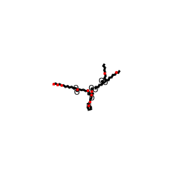 CCCCCCCCCCCOC(=O)CCCCCN1CC(OCCCN2CCCC2)C[C@H]1C(=O)OCCCCC(=O)OC(CCCCCCCC)CCCCCCCC